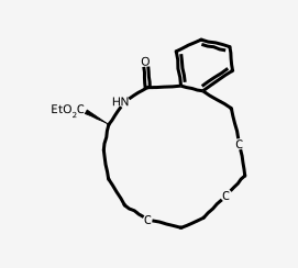 CCOC(=O)[C@@H]1CCCCCCCCCCc2ccccc2C(=O)N1